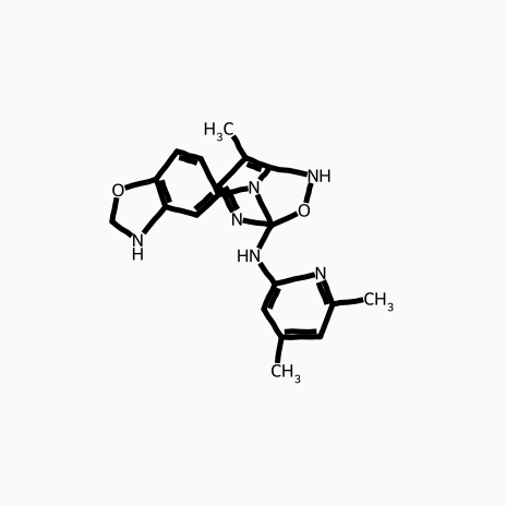 CC1=C2NOC(Nc3cc(C)cc(C)n3)(N=C1)N2c1ccc2c(c1)NCO2